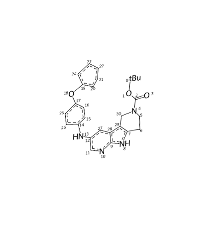 CC(C)(C)OC(=O)N1CCc2[nH]c3ncc(Nc4ccc(Oc5ccccc5)cc4)cc3c2C1